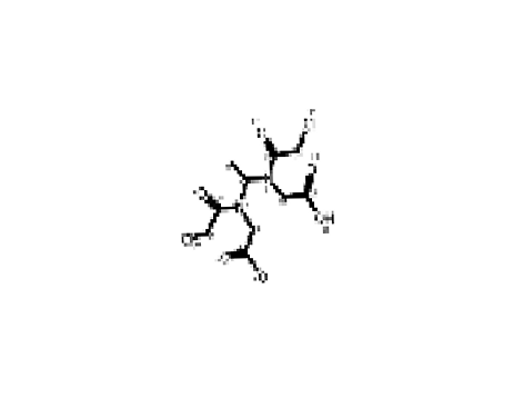 CC(N(CC(=O)O)C(=O)CCl)N(CC(=O)O)C(=O)CCl